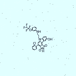 O=C1NC(=O)c2c1c(-c1ccccc1Cl)cc1c2c2cc(O)ccc2n1CCCNc1cccc(OC(F)(F)C(F)F)c1